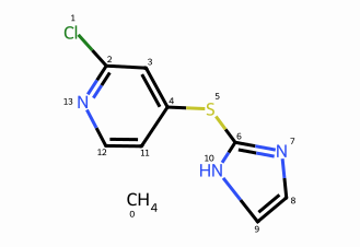 C.Clc1cc(Sc2ncc[nH]2)ccn1